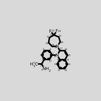 CC(N)c1cccc(N2c3ccccc3C=CC2N2CCCC(F)(F)CC2)c1